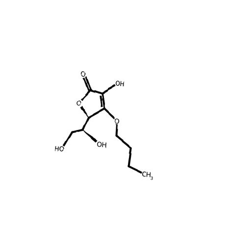 CCCCOC1=C(O)C(=O)O[C@@H]1[C@@H](O)CO